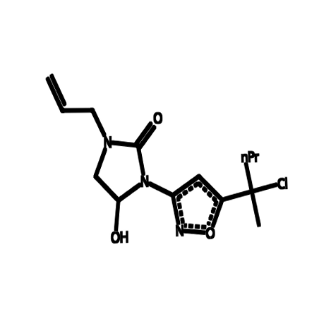 C=CCN1CC(O)N(c2cc(C(C)(Cl)CCC)on2)C1=O